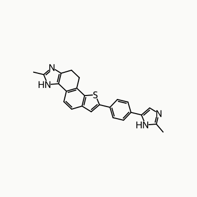 Cc1ncc(-c2ccc(-c3cc4ccc5c(c4s3)CCc3nc(C)[nH]c3-5)cc2)[nH]1